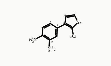 Nc1ccc(-c2ccsc2Cl)cc1N